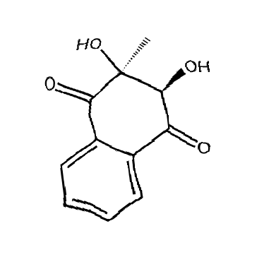 C[C@@]1(O)C(=O)c2ccccc2C(=O)[C@@H]1O